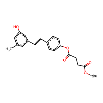 Cc1cc(O)cc(/C=C/c2ccc(OC(=O)CCC(=O)OC(C)(C)C)cc2)c1